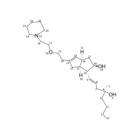 CCCC[C@](C)(O)C/C=C/[C@@H]1[C@H]2CC(CCOCCN3CCCCC3)=C[C@H]2C[C@H]1O